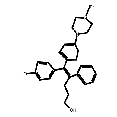 CC(C)N1CCN(C2=CC=C(/C(=C(/CCCO)c3ccccc3)c3ccc(O)cc3)CC2)CC1